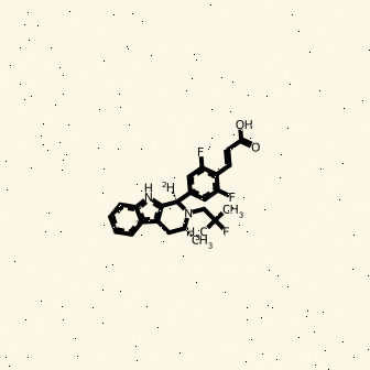 [2H][C@@]1(c2cc(F)c(/C=C/C(=O)O)c(F)c2)c2[nH]c3ccccc3c2C[C@@H](C)N1CC(C)(C)F